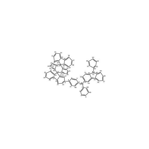 c1ccc(N(c2ccc(-c3ccc4c(c3)C3(c5ccccc5-4)c4ccccc4C4(c5ccccc5-c5ccccc54)c4ccccc43)cc2)c2ccc3c(c2)c2ccccc2n3-c2ccccc2)cc1